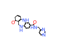 O=C1CC=CC2=C1CNc1ccc(C(=O)NCc3ccncn3)cc1N2